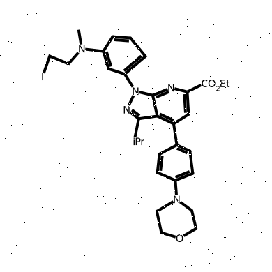 CCOC(=O)c1cc(-c2ccc(N3CCOCC3)cc2)c2c(C(C)C)nn(-c3cccc(N(C)CCI)c3)c2n1